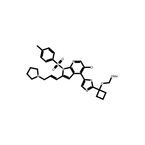 COCOC1(c2ncc(-c3c(Cl)cnc4c3cc(/C=C/CN3CCCC3)n4S(=O)(=O)c3ccc(C)cc3)s2)CCC1